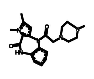 Cc1cc2c(n1C)C(=O)Nc1ccccc1N2C(=O)CN1CCN(C)CC1